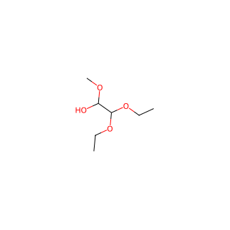 CCOC(OCC)C(O)OC